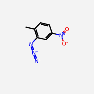 Cc1ccc([N+](=O)[O-])cc1N=[N+]=[N-]